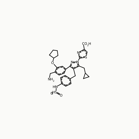 NCc1ccc(-c2nn(-c3nc(C(=O)O)cs3)c(CC3CC3)c2Cc2ccc(N[SH](=O)=O)cc2)cc1OC1CCCC1